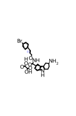 NC1CCc2[nH]c3ccc(C(=O)NOC/C=C/c4ccc(Br)cc4)cc3c2C1.O=C(O)C(=O)O